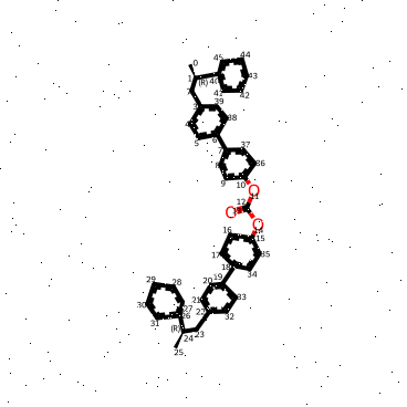 C[C@H](Cc1ccc(-c2ccc(OC(=O)Oc3ccc(-c4ccc(C[C@@H](C)c5ccccc5)cc4)cc3)cc2)cc1)c1ccccc1